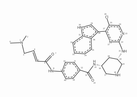 CN(C)C/C=C/C(=O)Nc1ccc(C(=O)N[C@H]2CNC[C@@H](Nc3ncc(Cl)c(-c4c[nH]c5ccccc45)n3)C2)cc1